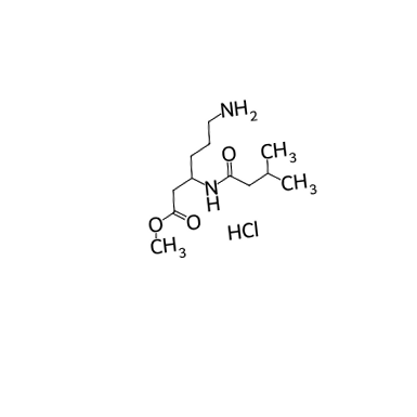 COC(=O)CC(CCCN)NC(=O)CC(C)C.Cl